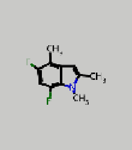 Cc1c(F)cc(F)c2c1cc(C)n2C